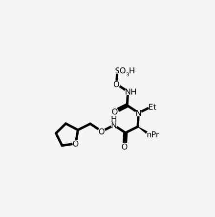 CCC[C@@H](C(=O)NOCC1CCCO1)N(CC)C(=O)NOS(=O)(=O)O